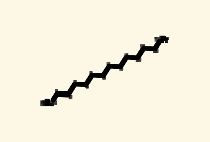 CCCCC=CCCCCCCCCCCC(C)C